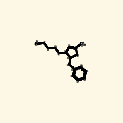 FC(F)(F)C1=CC(CCCCCl)N(Cc2ccccc2)C1